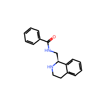 O=C(NC[C@@H]1NCCc2ccccc21)c1ccccc1